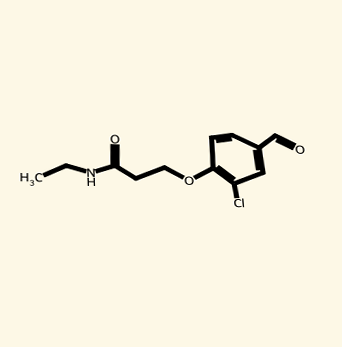 CCNC(=O)CCOc1ccc(C=O)cc1Cl